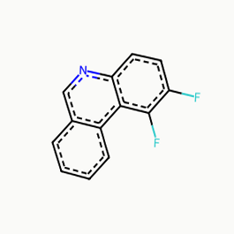 Fc1ccc2ncc3ccccc3c2c1F